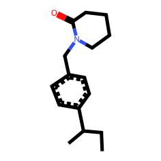 CCC(C)c1ccc(CN2CCCCC2=O)cc1